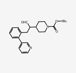 CC(C)(C)OC(=O)N1CCC(C(C=O)Cc2ccccc2-c2cccnc2)CC1